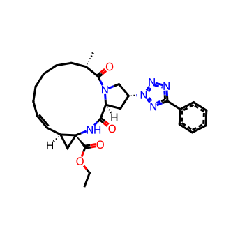 CCOC(=O)[C@@]12C[C@H]1/C=C\CCCCC[C@H](C)C(=O)N1C[C@H](n3nnc(-c4ccccc4)n3)C[C@H]1C(=O)N2